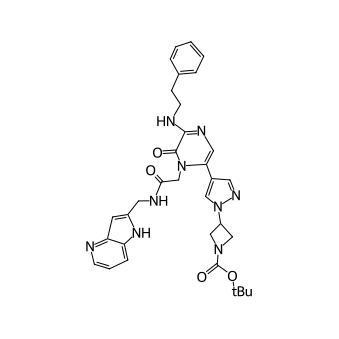 CC(C)(C)OC(=O)N1CC(n2cc(-c3cnc(NCCc4ccccc4)c(=O)n3CC(=O)NCc3cc4ncccc4[nH]3)cn2)C1